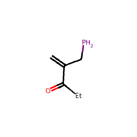 C=C(CP)C(=O)CC